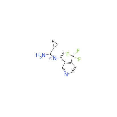 C=C(/N=C(/N)C1CC1)c1cnccc1C(F)(F)F